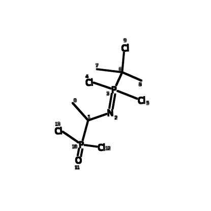 CC(N=P(Cl)(Cl)C(C)(C)Cl)P(=O)(Cl)Cl